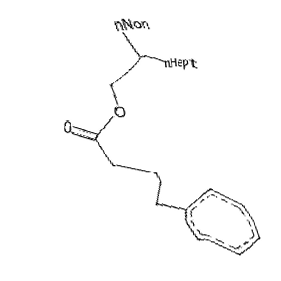 CCCCCCCCCC(CCCCCCC)COC(=O)CCCc1ccccc1